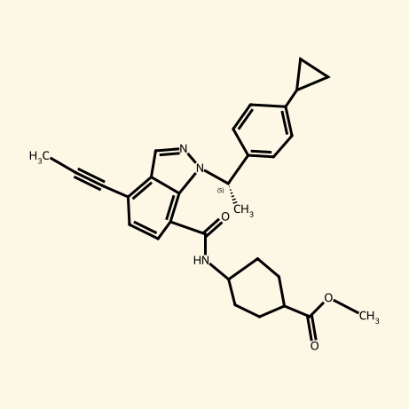 CC#Cc1ccc(C(=O)NC2CCC(C(=O)OC)CC2)c2c1cnn2[C@@H](C)c1ccc(C2CC2)cc1